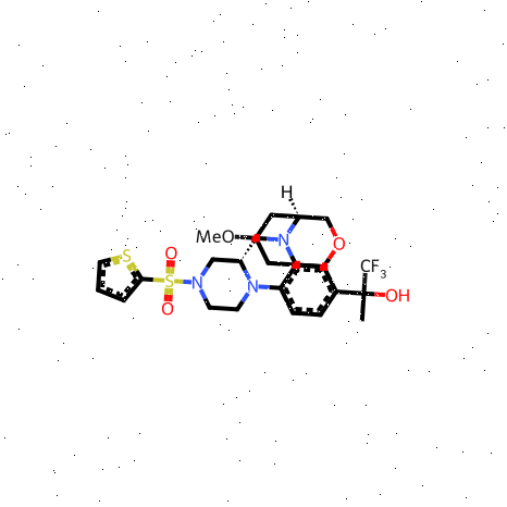 COC1CC2COC[C@H](C1)N2C[C@H]1CN(S(=O)(=O)c2cccs2)CCN1c1ccc(C(C)(O)C(F)(F)F)cc1